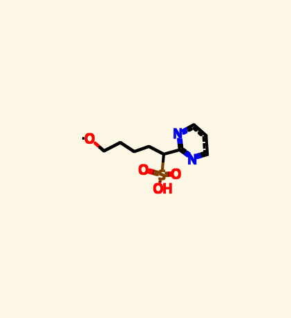 [O]CCCCC(c1ncccn1)S(=O)(=O)O